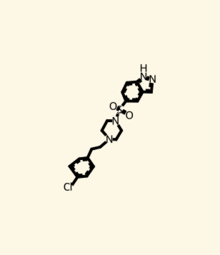 O=S(=O)(c1ccc2[nH]ncc2c1)N1CCN(CCc2ccc(Cl)cc2)CC1